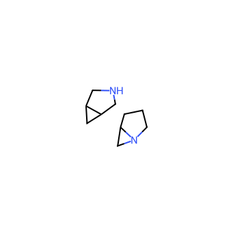 C1CC2CN2C1.C1NCC2CC12